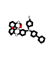 Fc1ccc(N(c2ccc(-c3ccccc3)cc2)c2ccc3c(c2)[Si]2(c4ccccc4Oc4ccccc42)c2ccccc2O3)cc1